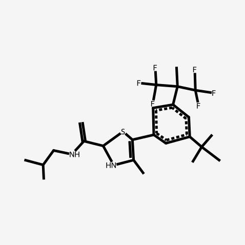 C=C(NCC(C)C)C1NC(C)=C(c2cc(C(C)(C)C)cc(C(C)(C(F)(F)F)C(F)(F)F)c2)S1